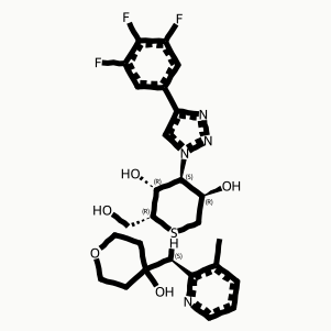 Cc1cccnc1[C@H]([SH]1C[C@H](O)[C@H](n2cc(-c3cc(F)c(F)c(F)c3)nn2)[C@@H](O)[C@H]1CO)C1(O)CCOCC1